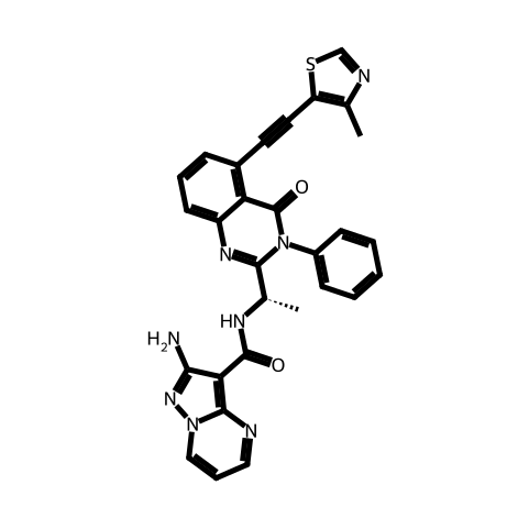 Cc1ncsc1C#Cc1cccc2nc([C@H](C)NC(=O)c3c(N)nn4cccnc34)n(-c3ccccc3)c(=O)c12